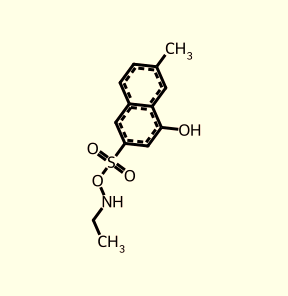 CCNOS(=O)(=O)c1cc(O)c2cc(C)ccc2c1